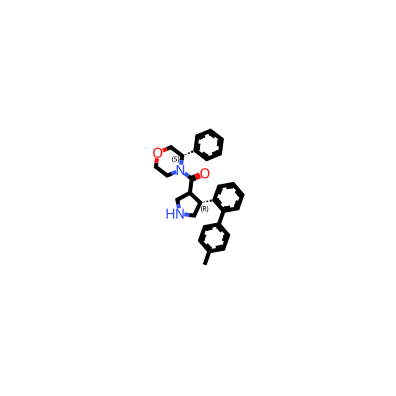 Cc1ccc(-c2ccccc2[C@@H]2CNCC2C(=O)N2CCOC[C@@H]2c2ccccc2)cc1